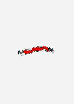 CC(=O)N(C(C)=O)c1ccc(Oc2ccc(N3C(=O)c4ccc(C(c5ccc6c(c5)C(=O)n5c-6nc6ccc(-c7ccc8nc9n(c8c7)C(=O)c7cc(C(c8ccc(C)c(C)c8)(C(F)(F)F)C(F)(F)F)ccc7-9)cc65)(C(F)(F)F)C(F)(F)F)cc4C3=O)cc2)cc1